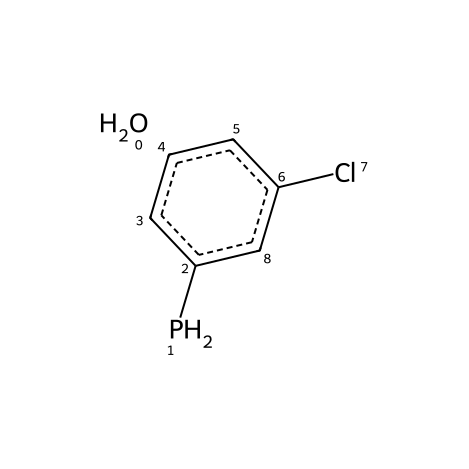 O.Pc1cccc(Cl)c1